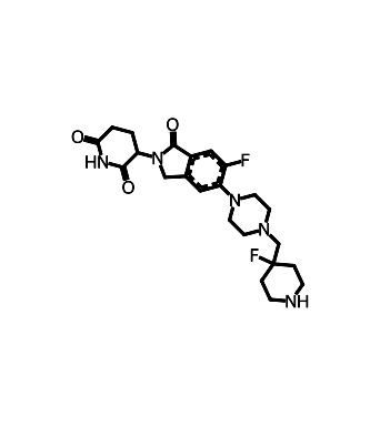 O=C1CCC(N2Cc3cc(N4CCN(CC5(F)CCNCC5)CC4)c(F)cc3C2=O)C(=O)N1